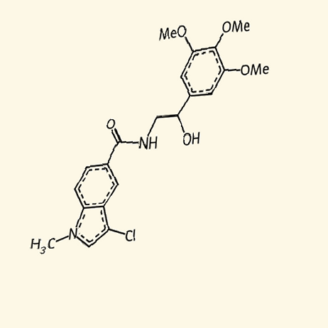 COc1cc(C(O)CNC(=O)c2ccc3c(c2)c(Cl)cn3C)cc(OC)c1OC